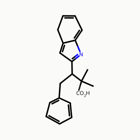 CC(C)(C(=O)O)C(Cc1ccccc1)C1=NC2=CC=CCC2=C1